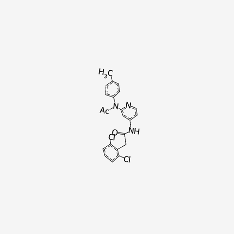 CC(=O)N(c1ccc(C)cc1)c1cc(NC(=O)Cc2c(Cl)cccc2Cl)ccn1